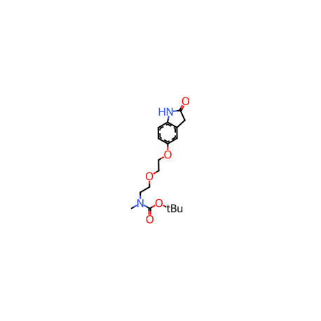 CN(CCOCCOc1ccc2c(c1)CC(=O)N2)C(=O)OC(C)(C)C